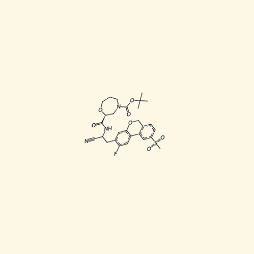 CC(C)(C)OC(=O)N1CCCO[C@H](C(=O)NC(C#N)Cc2cc3c(cc2F)-c2cc(S(C)(=O)=O)ccc2CO3)C1